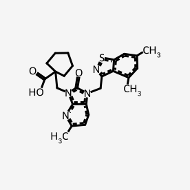 Cc1cc(C)c2c(Cn3c(=O)n(CC4(C(=O)O)CCCCC4)c4nc(C)ccc43)nsc2c1